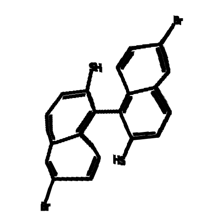 Sc1ccc2cc(Br)ccc2c1-c1c(S)ccc2cc(Br)ccc12